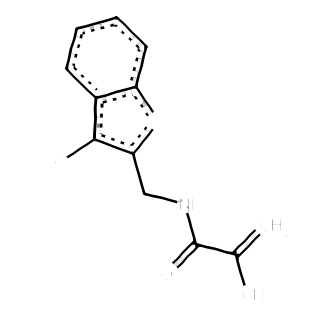 C=C(C)C(=O)NCc1sc2ccccc2c1C